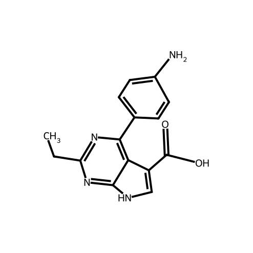 CCc1nc(-c2ccc(N)cc2)c2c(C(=O)O)c[nH]c2n1